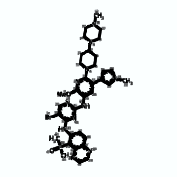 COc1nc(N2CCC(N3CCN(C)CC3)CC2)c(-c2ccn(C)c2)cc1Nc1ncc(Br)c(Nc2ccc3nccnc3c2P(C)(C)=O)n1